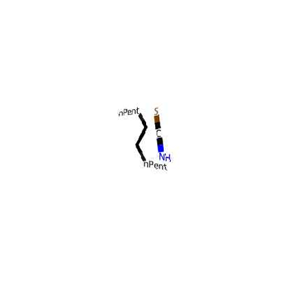 CCCCCCCCCCCC.N=C=S